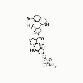 Cc1sc(C(=O)c2cncnc2N[C@@H]2C[C@H](COS(N)(=O)=O)C[C@H]2O)cc1C1NCCc2ccc(Br)cc21